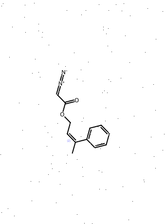 C/C(=C/COC(=O)C=[N+]=[N-])c1ccccc1